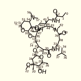 CCC(=O)NCCCO[C@H]1C(O[C@@H]2[C@@H](C)C(O[C@H]3C[C@@](C)(OC)[C@@H](O)[C@H](C)O3)C(C)C(=O)N[C@@H](CC(C)C)CC(=O)N(C)C[C@H](C)CC2(C)O)O[C@H](C)CC1N(C)C